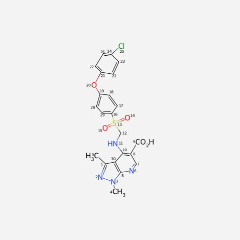 Cc1nn(C)c2ncc(C(=O)O)c(NCS(=O)(=O)c3ccc(Oc4ccc(Cl)cc4)cc3)c12